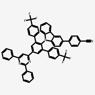 N#Cc1ccc(-c2ccc3c(c2)c2ccccc2n3-c2c(-c3ccc(C(F)(F)F)cc3)cc(-c3cc(-c4ccccc4)nc(-c4ccccc4)n3)cc2-c2ccc(C(F)(F)F)cc2)cc1